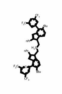 CCCC1=Cc2c(ccc(C(C)(C)C)c2-c2cc(C(F)(F)F)cc(C(F)(F)F)c2)C1C[SiH2]CC1C(CCC)=Cc2c1ccc(C(C)(C)C)c2-c1cc(C(F)(F)F)cc(C(F)(F)F)c1